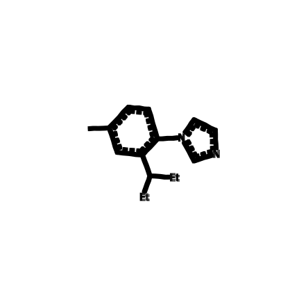 CCC(CC)c1cc(C)ccc1-n1ccnc1